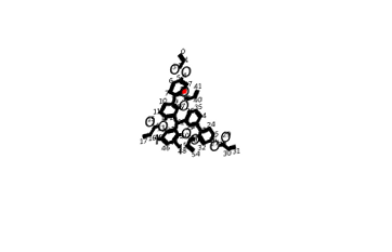 C=CC(=O)Oc1ccc(-c2ccc(OC(=O)C=C)c(C(c3cc(C4=CCC(OC(=O)C=C)C=C4)ccc3OC(=O)C=C)c3cc(I)cc(I)c3OC(=O)C=C)c2)cc1